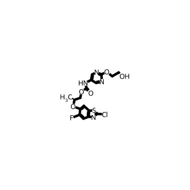 C[C@@H](COC(=O)Nc1cnc(OCCO)nc1)Oc1cc2sc(Cl)nc2cc1F